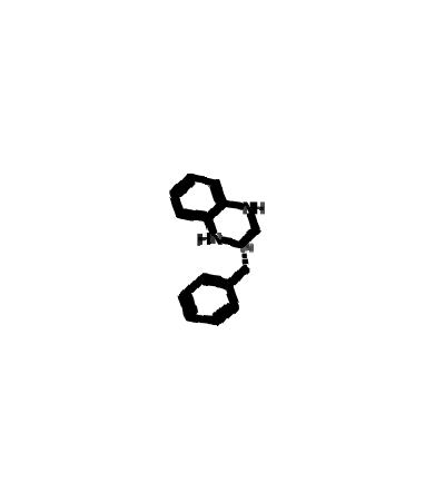 c1ccc(C[C@H]2CNc3ccccc3N2)cc1